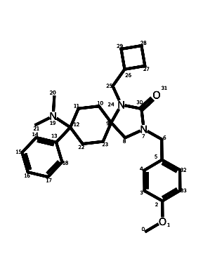 COc1ccc(CN2CC3(CCC(c4ccccc4)(N(C)C)CC3)N(CC3CCC3)C2=O)cc1